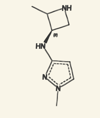 CC1NC[C@H]1Nc1ccn(C)n1